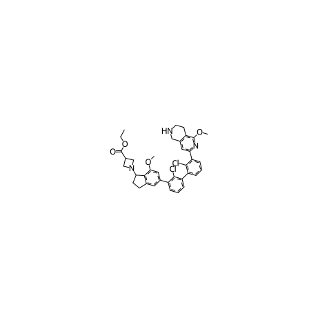 CCOC(=O)C1CN(C2CCc3cc(-c4cccc(-c5cccc(-c6cc7c(c(OC)n6)CCNC7)c5Cl)c4Cl)cc(OC)c32)C1